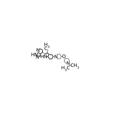 CCc1c(-c2ccnc3[nH]ncc23)[nH]c2ccc(N3CCC(OC4CCN(C(C)C)CC4)CC3)cc12